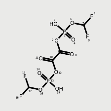 O=C(OP(=O)(O)OC(F)F)C(=O)OP(=O)(O)OC(F)F